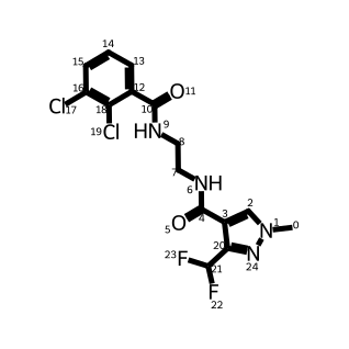 Cn1cc(C(=O)NCCNC(=O)c2cccc(Cl)c2Cl)c(C(F)F)n1